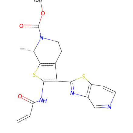 C=CC(=O)Nc1sc2c(c1-c1nc3cnccc3s1)CCN(C(=O)OC(C)(C)C)[C@H]2C